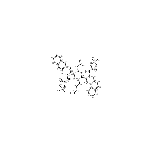 CC(C)C[C@@H]1CN(C(=O)[C@@H](Cc2ccc3ccccc3c2)NC(=O)OC(C)(C)C)[C@@H](CCCO)CN1C(=O)[C@@H](Cc1ccc2ccccc2c1)NC(=O)OC(C)(C)C